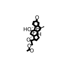 CC(=O)OCC(=O)C1=CC[C@H]2[C@@H]3C[C@H](C)C4=CC(=O)C=C[C@]4(C)[C@@]3(F)[C@@H](O)C[C@]12C